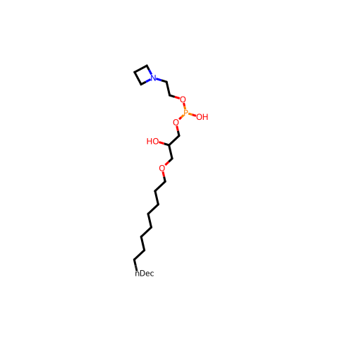 CCCCCCCCCCCCCCCCCCOCC(O)COP(O)OCCN1CCC1